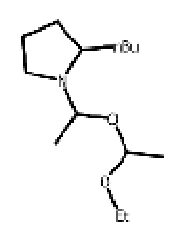 CCCCC1CCCN1C(C)OC(C)OCC